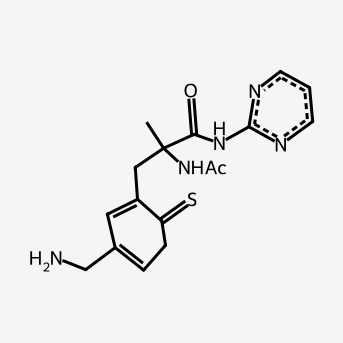 CC(=O)NC(C)(CC1=CC(CN)=CCC1=S)C(=O)Nc1ncccn1